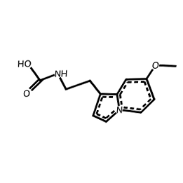 COc1ccn2ccc(CCNC(=O)O)c2c1